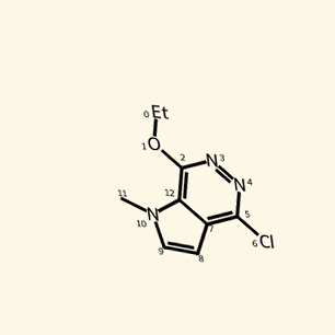 CCOc1nnc(Cl)c2ccn(C)c12